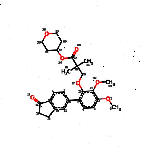 COc1ccc(-c2ccc3c(c2)CCC3=O)c(OCC(C)(C)C(=O)OC2CCOCC2)c1OC